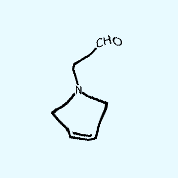 O=CCN1CC=CC1